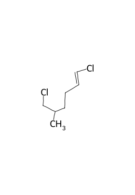 CC(CCl)CCC=CCl